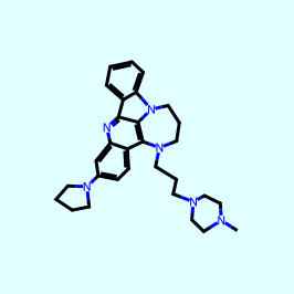 CN1CCN(CCCN2CCCn3c4ccccc4c4nc5cc(N6CCCC6)ccc5c2c43)CC1